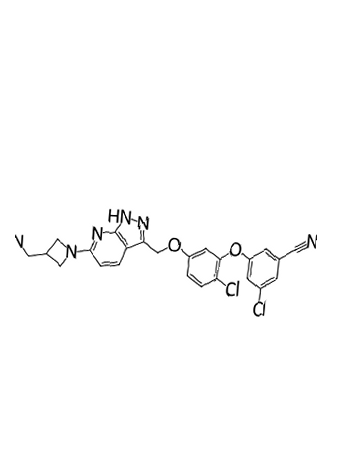 N#Cc1cc(Cl)cc(Oc2cc(OCc3n[nH]c4nc(N5CC(CN)C5)ccc34)ccc2Cl)c1